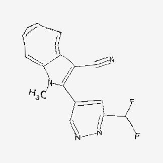 Cn1c(-c2cnnc(C(F)F)c2)c(C#N)c2ccccc21